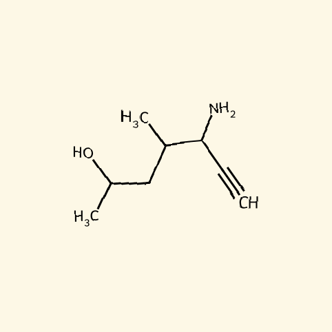 C#CC(N)C(C)CC(C)O